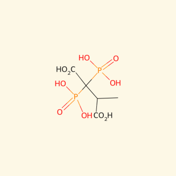 CC(C(=O)O)C(C(=O)O)(P(=O)(O)O)P(=O)(O)O